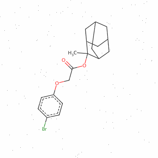 CC1(OC(=O)COc2ccc(Br)cc2)C2CC3CC(C2)CC1C3